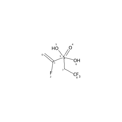 C=C(F)S(=O)(O)(O)CC(F)(F)F